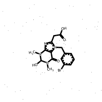 CN1C(=O)c2c(nc(CC(=O)O)n2Cc2cccc(Br)c2)N(C)C1O